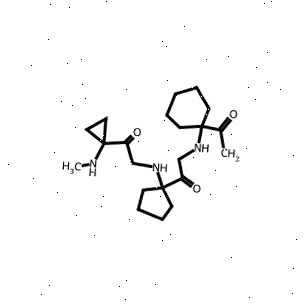 CNC1(C(=O)CNC2(C(=O)CNC3(C(C)=O)CCCCC3)CCCC2)CC1